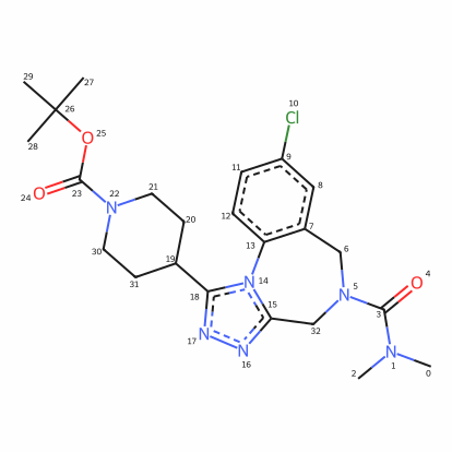 CN(C)C(=O)N1Cc2cc(Cl)ccc2-n2c(nnc2C2CCN(C(=O)OC(C)(C)C)CC2)C1